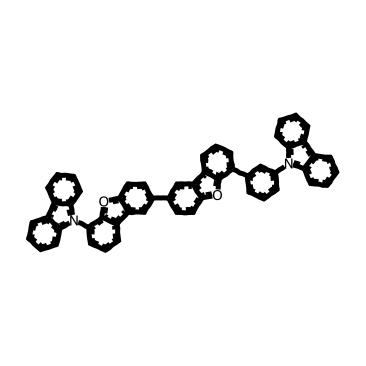 c1cc(-c2cccc3c2oc2ccc(-c4ccc5oc6c(-n7c8ccccc8c8ccccc87)cccc6c5c4)cc23)cc(-n2c3ccccc3c3ccccc32)c1